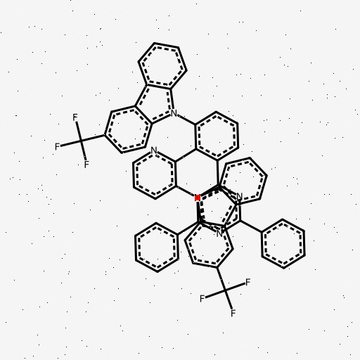 FC(F)(F)c1ccc2c(c1)c1ccccc1n2-c1cccnc1-c1c(-c2nc(-c3ccccc3)nc(-c3ccccc3)n2)cccc1-n1c2ccccc2c2cc(C(F)(F)F)ccc21